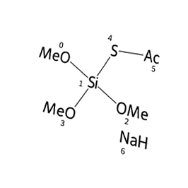 CO[Si](OC)(OC)SC(C)=O.[NaH]